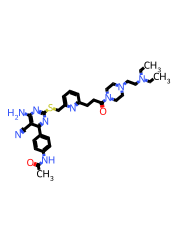 CCN(CC)CCN1CCN(C(=O)CCc2cccc(CSc3nc(N)c(C#N)c(-c4ccc(NC(C)=O)cc4)n3)n2)CC1